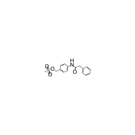 CS(=O)(=O)OCc1ccc(NC(=O)Cc2ccccc2)cc1